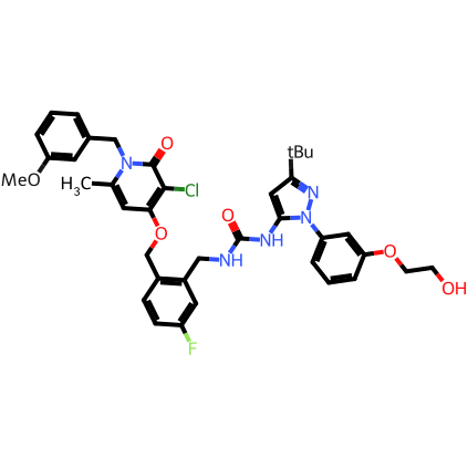 COc1cccc(Cn2c(C)cc(OCc3ccc(F)cc3CNC(=O)Nc3cc(C(C)(C)C)nn3-c3cccc(OCCO)c3)c(Cl)c2=O)c1